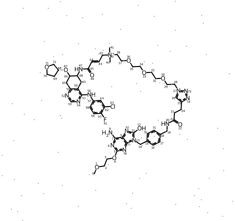 COCCOc1nc(N)c2nc(O)n(Cc3ccc(CNC(=O)CCc4cn(CCOCCOCCOCC[N+](C)(C)C/C=C/C(=O)NC5Cc6c(ncnc6Nc6ccc(F)c(Cl)c6)CC5O[C@@H]5CCOC5)nn4)cc3)c2n1